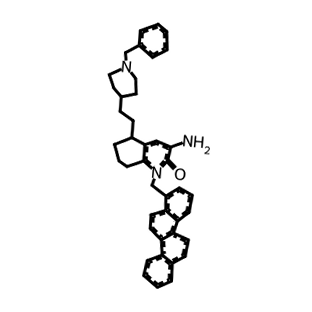 Nc1cc2c(n(Cc3cccc4c3ccc3c5ccccc5ccc43)c1=O)CCCC2CCC1CCN(Cc2ccccc2)CC1